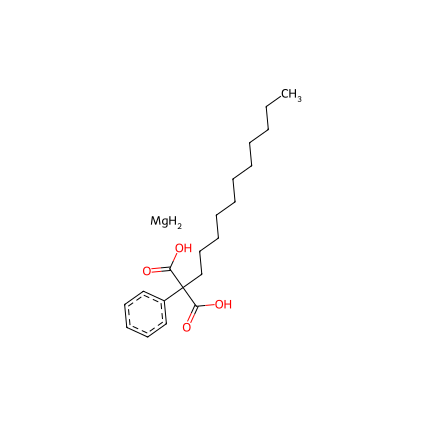 CCCCCCCCCCCC(C(=O)O)(C(=O)O)c1ccccc1.[MgH2]